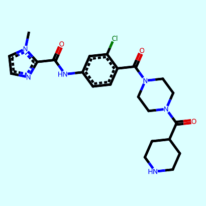 Cn1ccnc1C(=O)Nc1ccc(C(=O)N2CCN(C(=O)C3CCNCC3)CC2)c(Cl)c1